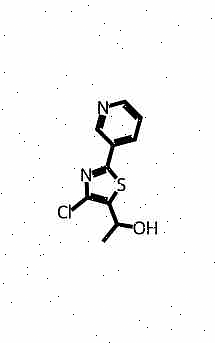 CC(O)c1sc(-c2cccnc2)nc1Cl